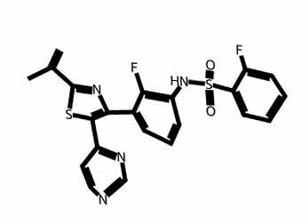 C=C(C)c1nc(-c2cccc(NS(=O)(=O)c3ccccc3F)c2F)c(-c2ccncn2)s1